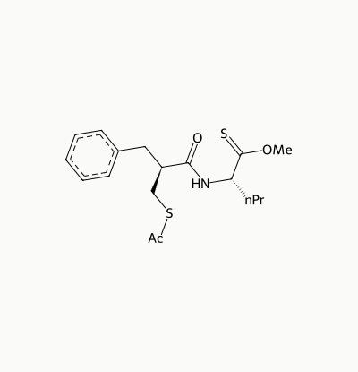 CCC[C@H](NC(=O)[C@@H](CSC(C)=O)Cc1ccccc1)C(=S)OC